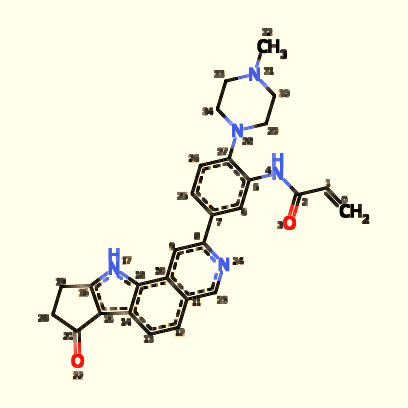 C=CC(=O)Nc1cc(-c2cc3c(ccc4c5c([nH]c43)CCC5=O)cn2)ccc1N1CCN(C)CC1